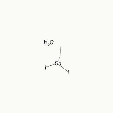 O.[I][Ga]([I])[I]